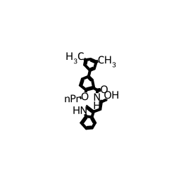 CCCOc1ccc(-c2cc(C)cc(C)c2)cc1C(=O)NC(CO)Cc1c[nH]c2ccccc12